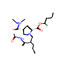 CCCC(F)OC(=O)[C@H]1C[C@@H](C(=O)N(C)C)CN1CC(CCC)C(C)NC(C)=O